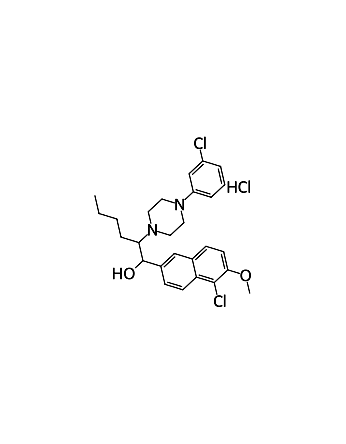 CCCCC(C(O)c1ccc2c(Cl)c(OC)ccc2c1)N1CCN(c2cccc(Cl)c2)CC1.Cl